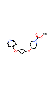 CC(C)(C)OC(=O)N1CCC(O[C@H]2C[C@H](Oc3ccncc3)C2)CC1